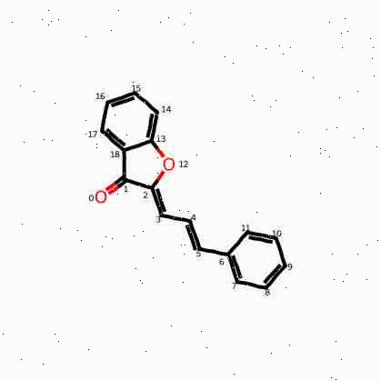 O=C1/C(=C/C=C/c2ccccc2)Oc2ccccc21